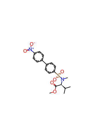 COC(=O)[C@H](C(C)C)N(C)S(=O)(=O)c1ccc(-c2ccc([N+](=O)[O-])cc2)cc1